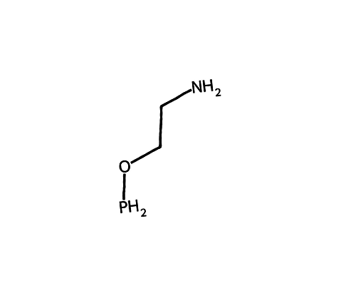 NCCOP